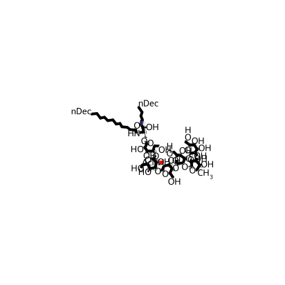 CCCCCCCCCCCCC/C=C/[C@@H](O)[C@H](CO[C@@H]1OC(CO)[C@@H](O[C@@H]2OC(CO)[C@H](O)[C@H](O[C@@H]3OC(CO)[C@@H](O[C@@H]4OC(CO)[C@H](O)[C@H](O[C@H]5OC(CO)[C@H](O)[C@H](O)C5O)C4O[C@H]4OC(C)[C@@H](O)C(O)[C@@H]4O)[C@H](O)C3NC(C)=O)C2O)[C@H](O)C1O)NC(=O)CCCCCCCCCCCCCCCCCCCCC